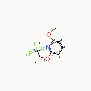 COc1cccc(O[C@H](C)C(F)(F)F)n1